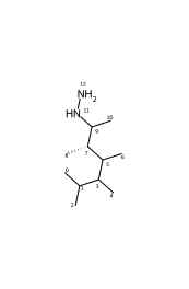 CC(C)C(C)C(C)[C@H](C)C(C)NN